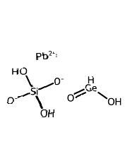 [O-][Si]([O-])(O)O.[O]=[GeH][OH].[Pb+2]